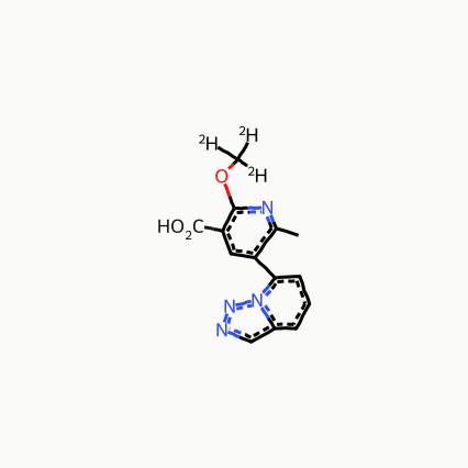 [2H]C([2H])([2H])Oc1nc(C)c(-c2cccc3cnnn23)cc1C(=O)O